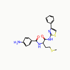 CSCCC(NC(=O)c1ccc(N)cc1)C(=O)Nc1nc(-c2ccccc2)cs1